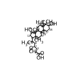 COC(CCC(=O)O)C[C@@H](C)C1C[C@H](O)[C@@]2(C)C3CC[C@H]4C(C)(C)C(O)CCC45CC35CCC12C